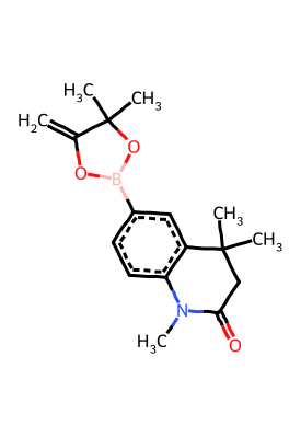 C=C1OB(c2ccc3c(c2)C(C)(C)CC(=O)N3C)OC1(C)C